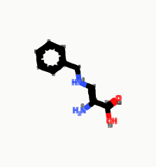 NC(=CNCc1ccccc1)C(=O)O